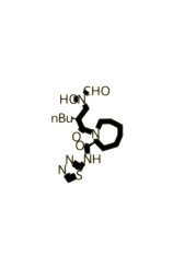 CCCC[C@H](CN(O)C=O)C(=O)N1CCCCCC[C@H]1C(=O)Nc1nncs1